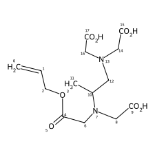 C=CCOC(=O)CN(CC(=O)O)C(C)CN(CC(=O)O)CC(=O)O